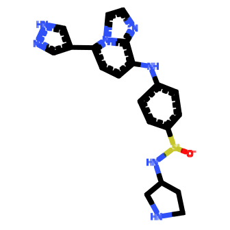 [O-][S+](NC1CCNC1)c1ccc(Nc2ccc(-c3cn[nH]c3)n3ccnc23)cc1